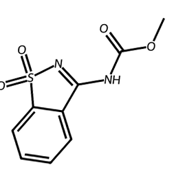 COC(=O)NC1=NS(=O)(=O)c2ccccc21